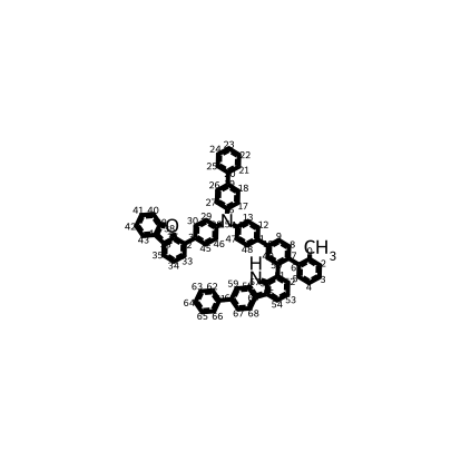 Cc1ccccc1-c1ccc(-c2ccc(N(c3ccc(-c4ccccc4)cc3)c3ccc(-c4cccc5c4oc4ccccc45)cc3)cc2)cc1-c1cccc2c1[nH]c1cc(-c3ccccc3)ccc12